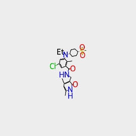 CCN(c1cc(Cl)cc(C(=O)NCc2c(C)cc(C)[nH]c2=O)c1C)[C@H]1CC[C@@H](S(C)(=O)=O)CC1